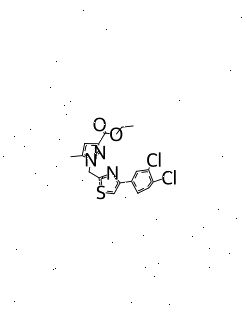 CCOC(=O)c1cc(C)n(Cc2nc(-c3ccc(Cl)c(Cl)c3)cs2)n1